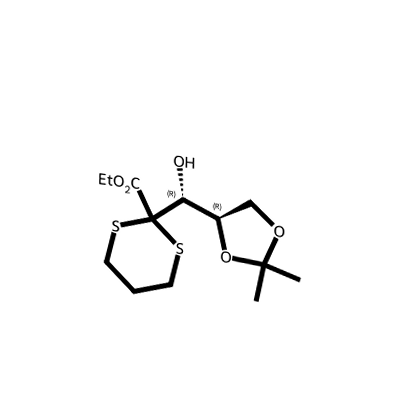 CCOC(=O)C1([C@H](O)[C@H]2COC(C)(C)O2)SCCCS1